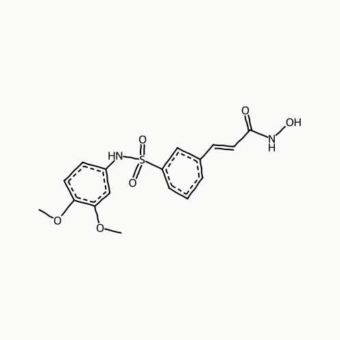 COc1ccc(NS(=O)(=O)c2cccc(C=CC(=O)NO)c2)cc1OC